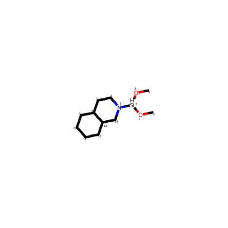 CO[SiH](OC)N1CCC2CCCCC2C1